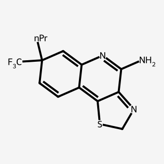 CCCC1(C(F)(F)F)C=Cc2c3c(c(N)nc2=C1)=NCS3